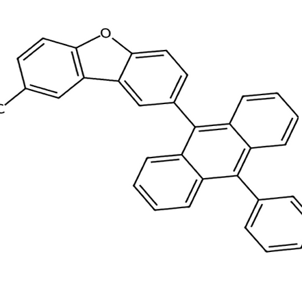 N#Cc1ccc2oc3ccc(-c4c5ccccc5c(-c5ccccc5)c5ccccc45)cc3c2c1